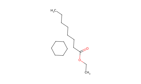 C1CCCCC1.CCCCCCCC(=O)OCC